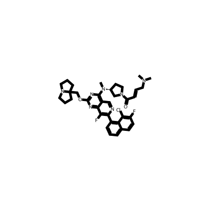 CN(C)C/C=C/C(=O)N1CC[C@@H](N(C)c2nc(OCC34CCCN3CCC4)nc3c(F)c(-c4cccc5ccc(F)c(Cl)c45)ncc23)C1